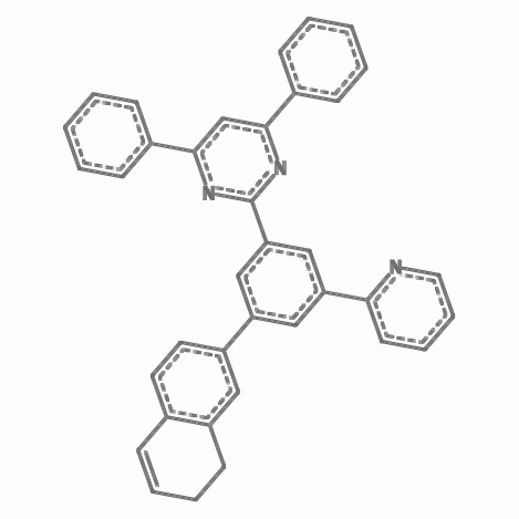 C1=Cc2ccc(-c3cc(-c4ccccn4)cc(-c4nc(-c5ccccc5)cc(-c5ccccc5)n4)c3)cc2CC1